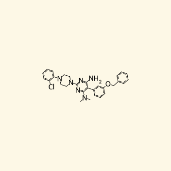 CN(C)c1nc(N2CCN(c3ccccc3Cl)CC2)nc(N)c1-c1cccc(OCc2ccccc2)c1